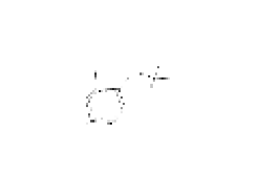 CCOC(=O)C(C)(C)Oc1ccc(S)cc1C